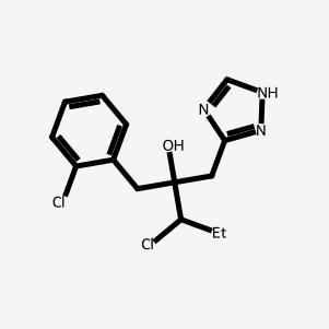 CCC(Cl)C(O)(Cc1nc[nH]n1)Cc1ccccc1Cl